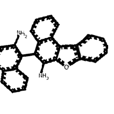 Nc1ccc2ccccc2c1-c1c(N)c2oc3ccccc3c2c2ccccc12